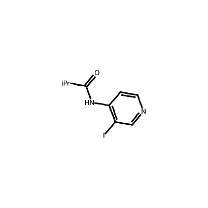 CC(C)C(=O)Nc1ccncc1I